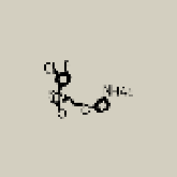 CC(=O)Nc1cccc(OCCCN2C(=O)CSC2c2ccc(F)c(Cl)c2)c1